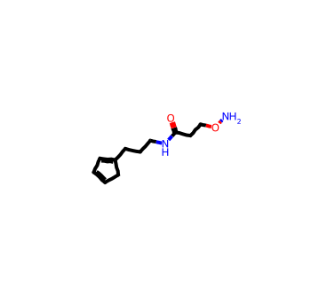 NOCCC(=O)NCCCC1=CC=CC1